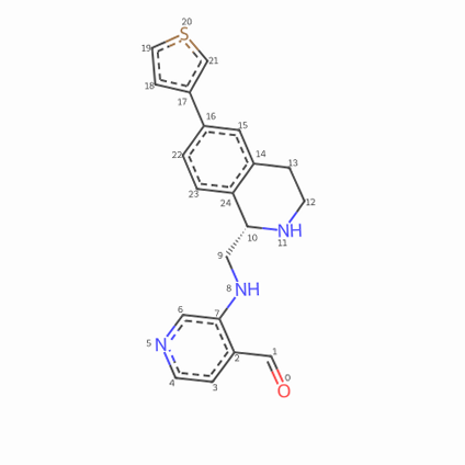 O=Cc1ccncc1NC[C@H]1NCCc2cc(-c3ccsc3)ccc21